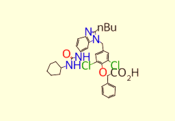 CCCCc1nc2ccc(NC(=O)NC3CCCCC3)cc2n1Cc1cc(Cl)c(OC(C(=O)O)c2ccccc2)c(Cl)c1